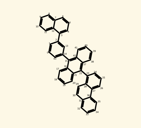 c1cc(-c2cccc3ccccc23)cc(-c2c3ccccc3c(-c3cccc4c3ccc3ccccc34)c3ccccc23)c1